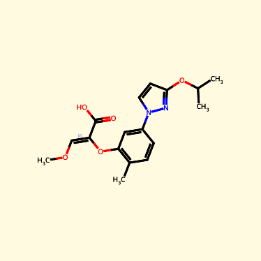 CO/C=C(\Oc1cc(-n2ccc(OC(C)C)n2)ccc1C)C(=O)O